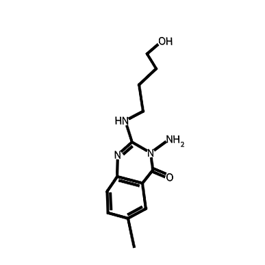 Cc1ccc2nc(NCCCCO)n(N)c(=O)c2c1